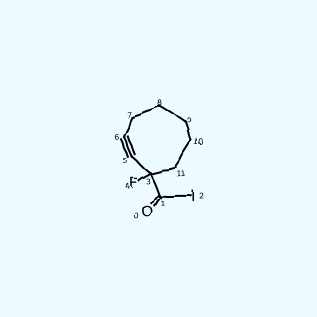 O=C(I)C1(F)C#CCCCCC1